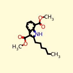 CCCCCCc1[nH]c2c(C(=O)OC)cccc2c1C(=O)OC